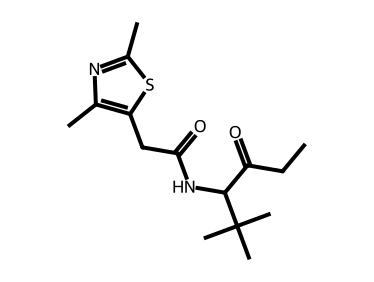 CCC(=O)C(NC(=O)Cc1sc(C)nc1C)C(C)(C)C